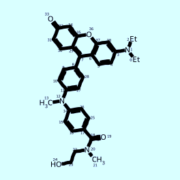 CCN(CC)c1ccc2c(-c3ccc(N(C)c4ccc(C(=O)N(C)CCO)cc4)cc3)c3ccc(=O)cc-3oc2c1